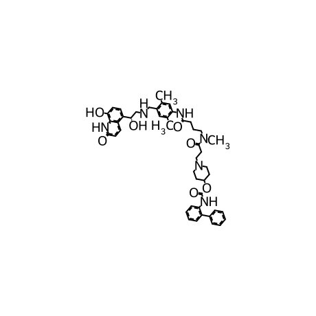 Cc1cc(NC(=O)CCCN(C)C(=O)CCN2CCC(OC(=O)Nc3ccccc3-c3ccccc3)CC2)c(C)cc1CNC[C@H](O)c1ccc(O)c2[nH]c(=O)ccc12